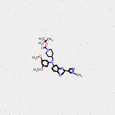 COc1cc(OC)cc(N(CC2CCN(C(=O)OC(C)(C)C)CC2)c2ccc3ncc(-c4cnn(C)c4)nc3c2)c1